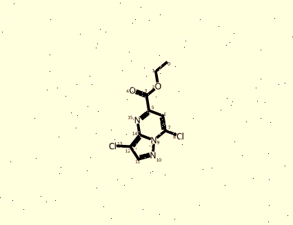 CCOC(=O)c1cc(Cl)n2ncc(Cl)c2n1